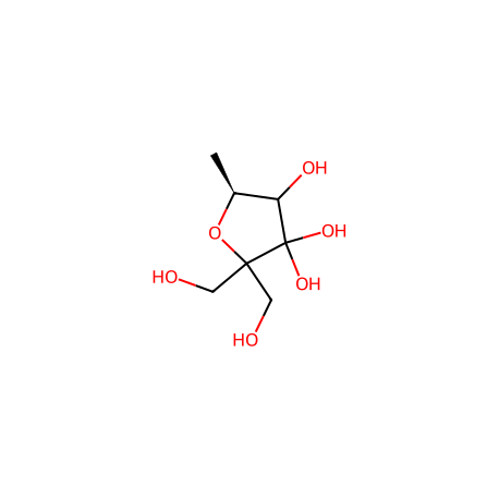 C[C@@H]1OC(CO)(CO)C(O)(O)C1O